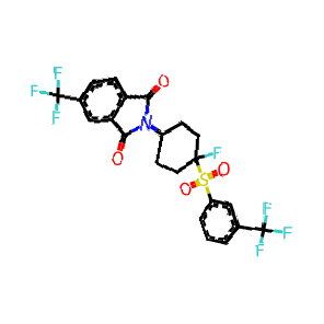 O=C1c2ccc(C(F)(F)F)cc2C(=O)N1C1CCC(F)(S(=O)(=O)c2cccc(C(F)(F)F)c2)CC1